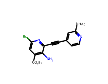 CCOC(=O)c1cc(Br)nc(C#Cc2ccnc(NC(C)=O)c2)c1N